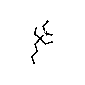 CCCCC(CC)(CC)N(C)CC